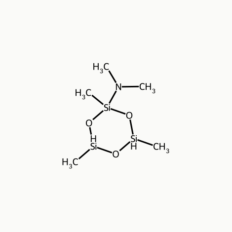 CN(C)[Si]1(C)O[SiH](C)O[SiH](C)O1